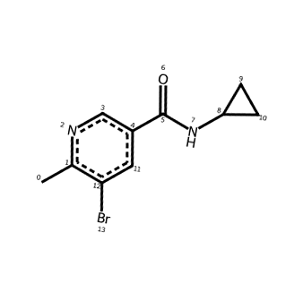 Cc1ncc(C(=O)NC2CC2)cc1Br